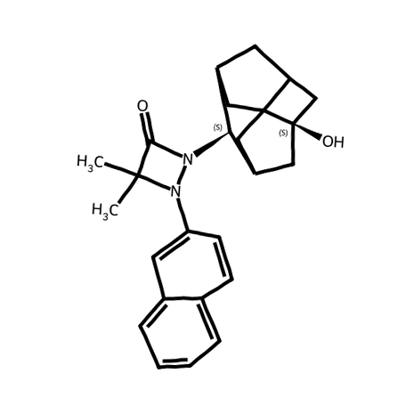 CC1(C)C(=O)N([C@H]2C3CC4C[C@]5(O)CC2CC45C3)N1c1ccc2ccccc2c1